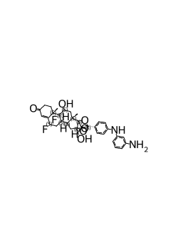 C[C@]12CCC(=O)C=C1[C@@H](F)C[C@H]1[C@@H]3C[C@H]4O[C@@H](c5ccc(Nc6cccc(N)c6)cc5)O[C@@]4(C(=O)CO)[C@@]3(C)C[C@H](O)[C@@]12F